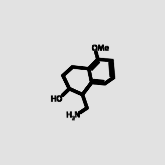 COc1cccc2c1CCC(O)C2CN